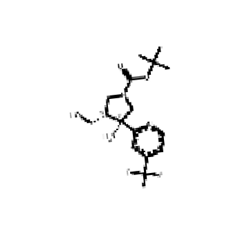 CC(C)(C)OC(=O)N1C[C@@H](CO)[C@](N)(c2cc(C(F)(F)F)ccn2)C1